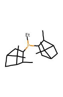 CCP(C1CC2CC(C1C)C2(C)C)C1CC2CC(C1C)C2(C)C